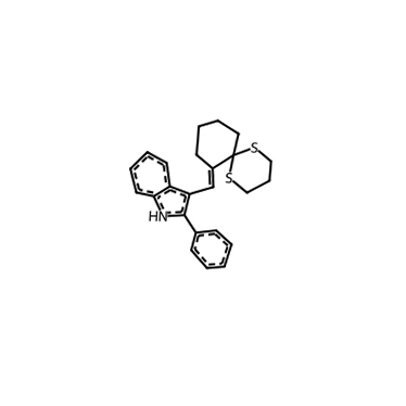 C(=C1/CCCCC12SCCCS2)/c1c(-c2ccccc2)[nH]c2ccccc12